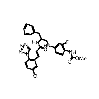 COC(=O)Nc1ccc(NCC(Cc2ccccc2)NC(=O)C=Cc2cc(Cl)ccc2-n2cnnn2)cc1F